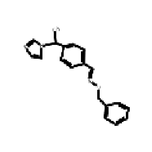 CCCC(c1ccc(C=NOCc2ccccc2)cc1)n1ccnc1